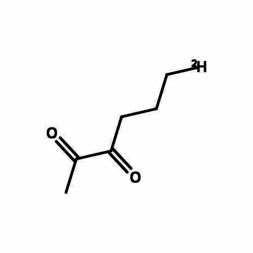 [2H]CCCC(=O)C(C)=O